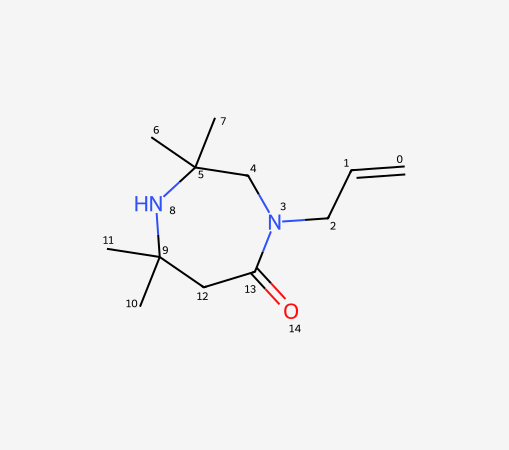 C=CCN1CC(C)(C)NC(C)(C)CC1=O